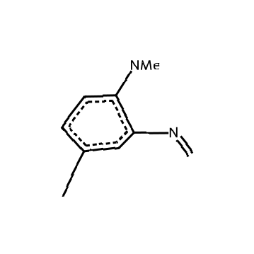 C=Nc1cc(C)ccc1NC